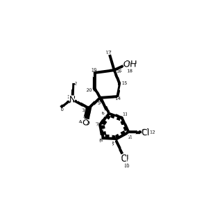 CN(C)C(=O)C1(c2ccc(Cl)c(Cl)c2)CCC(C)(O)CC1